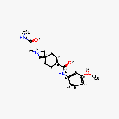 CC(C)(C)NC(=O)CN1CC2(CCC(C(=O)Nc3cccc(OC(F)(F)F)c3)CC2)C1